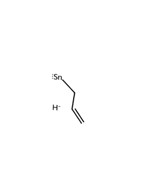 C=C[CH2][Sn].[H-]